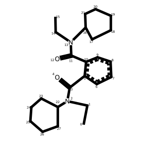 CCN(C(=O)c1ccccc1C(=O)N(CC)C1CCCCC1)C1CCCCC1